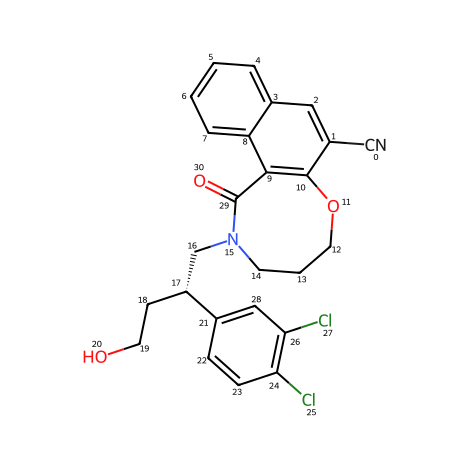 N#Cc1cc2ccccc2c2c1OCCCN(C[C@@H](CCO)c1ccc(Cl)c(Cl)c1)C2=O